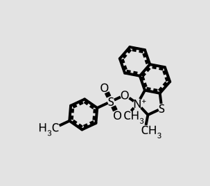 Cc1ccc(S(=O)(=O)O[N+]2(C)c3c(ccc4ccccc34)SC2C)cc1